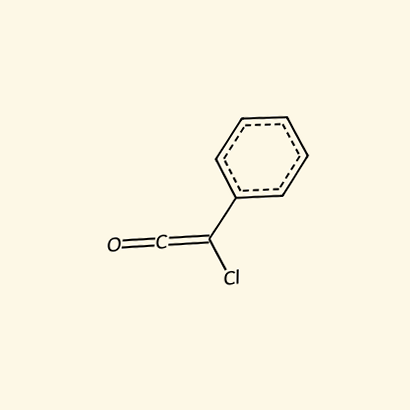 O=C=C(Cl)c1ccccc1